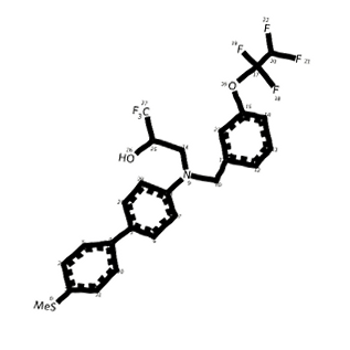 CSc1ccc(-c2ccc(N(Cc3cccc(OC(F)(F)C(F)F)c3)CC(O)C(F)(F)F)cc2)cc1